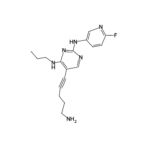 CCCNc1nc(Nc2ccc(F)nc2)ncc1C#CCCCN